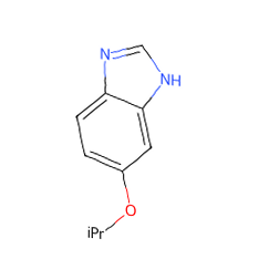 CC(C)Oc1ccc2nc[nH]c2c1